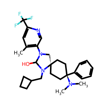 Cc1cc(C(F)(F)F)ncc1N1C[C@]2(CC[C@](c3ccccc3)(N(C)C)CC2)N(CC2CCC2)C1O